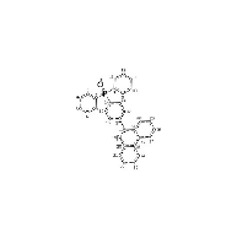 O=P(c1ccccc1)(c1ccccc1)c1ccc(-c2nc3ccccc3c3ccccc23)cc1